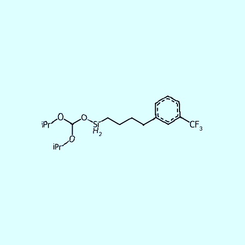 CC(C)OC(O[SiH2]CCCCc1cccc(C(F)(F)F)c1)OC(C)C